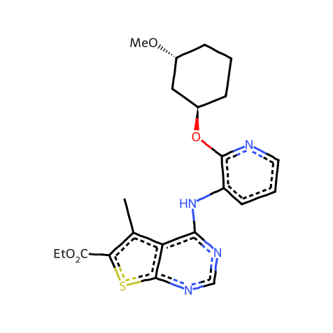 CCOC(=O)c1sc2ncnc(Nc3cccnc3O[C@@H]3CCC[C@@H](OC)C3)c2c1C